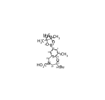 Cc1cc(B2OC(C)(C)C(C)(C)O2)cc2c1OC(C(C)(C)C)CN(C(=O)O)C2